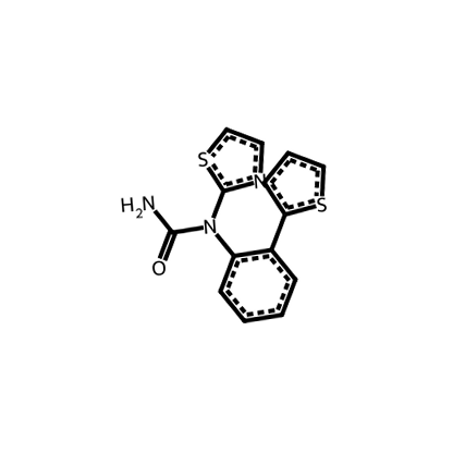 NC(=O)N(c1nccs1)c1ccccc1-c1cccs1